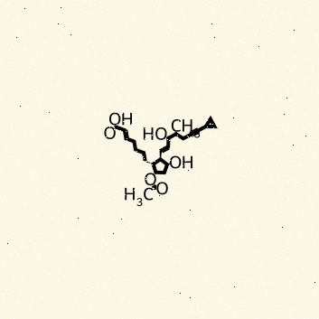 CC(=O)O[C@H]1C[C@@H](O)[C@H](/C=C/[C@@H](O)[C@@H](C)CC#CC2CC2)[C@H]1CCCCC=CC(=O)O